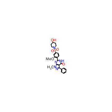 COc1cc(S(=O)(=O)N2CCC(O)CC2)ccc1-c1nc2c(c(-c3ccccc3)nn2C)c(=O)[nH]1